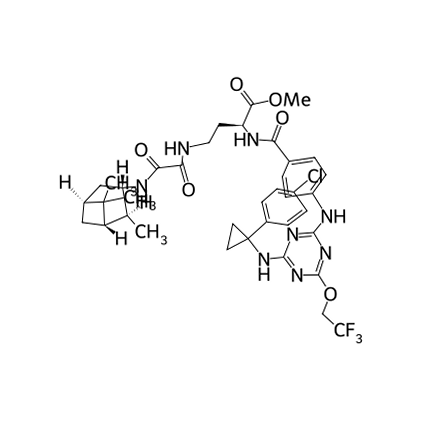 COC(=O)[C@H](CCNC(=O)C(=O)N[C@H]1C[C@@H]2C[C@@H]([C@@H]1C)C2(C)C)NC(=O)c1ccc(Nc2nc(NC3(c4ccc(Cl)cc4)CC3)nc(OCC(F)(F)F)n2)cc1